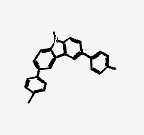 Cc1ccc(-c2ccc3c(c2)c2cc(-c4ccc(C)cc4)ccc2n3C)cc1